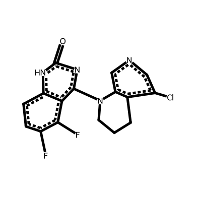 O=c1nc(N2CCCc3c(Cl)cncc32)c2c(F)c(F)ccc2[nH]1